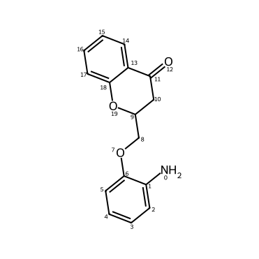 Nc1ccccc1OCC1CC(=O)c2ccccc2O1